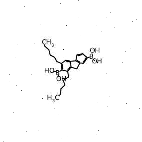 CCCCCCc1cc2c(c(CCCCCC)c1B(O)O)Cc1cc(B(O)O)ccc1-2